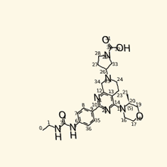 CCNC(=O)Nc1ccc(-c2nc3c(c(N4CCOC[C@@H]4C)n2)CCN(C2CCN(C(=O)O)C2)C3)cc1